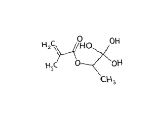 C=C(C)C(=O)OC(C)C(O)(O)O